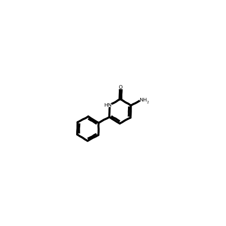 Nc1ccc(-c2ccccc2)[nH]c1=O